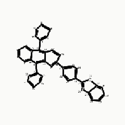 c1ccc(-c2c3ccccc3c(-c3ccccc3)c3cc(-c4ccc(-c5nc6ccccc6o5)cc4)ccc23)cc1